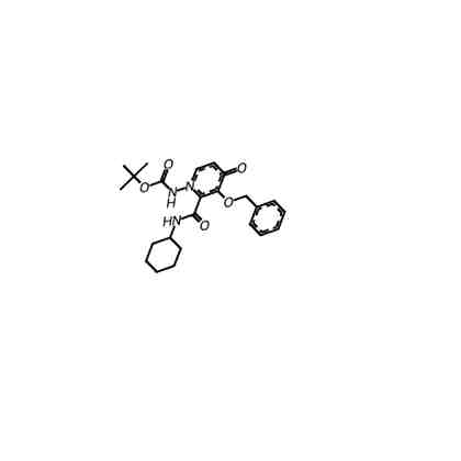 CC(C)(C)OC(=O)Nn1ccc(=O)c(OCc2ccccc2)c1C(=O)NC1CCCCC1